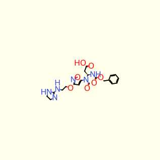 O=CN(c1cc(OCCNC2=NCCN2)no1)[C@@H](CC(=O)O)NC(=O)OCc1ccccc1